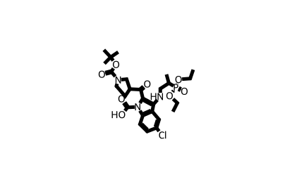 CCOP(=O)(OCC)C(C)CNc1c(C(=O)C2CCN(C(=O)OC(C)(C)C)C2)n(C(=O)O)c2ccc(Cl)cc12